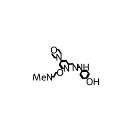 CNCCOc1cc(N2CCOCC2)cc(C=NNc2ccc(O)cc2)n1